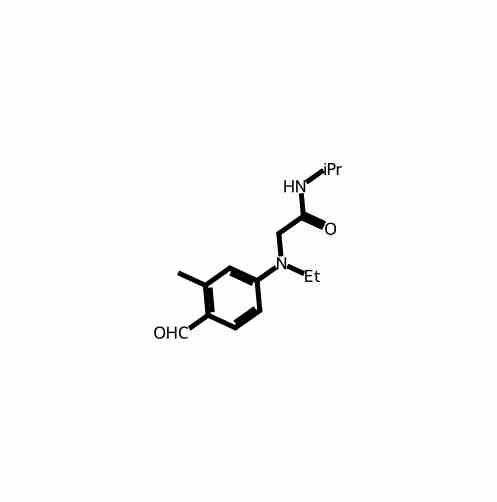 CCN(CC(=O)NC(C)C)c1ccc(C=O)c(C)c1